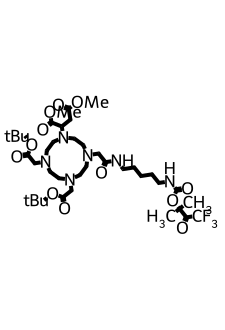 COC(=O)CC(C(=O)OC)N1CCN(CC(=O)NCCCCCNC(=O)OC(C)(C)C(=O)C(F)(F)F)CCN(CC(=O)OC(C)(C)C)CCN(CC(=O)OC(C)(C)C)CC1